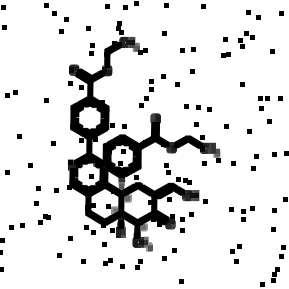 CCOC(=O)c1ccc(-c2ncc3c(n2)[C@@]2(c4cccc(C(=O)OCC)c4)CC(=CO)C(=O)[C@@H](C)[C@@H]2CC3)cc1